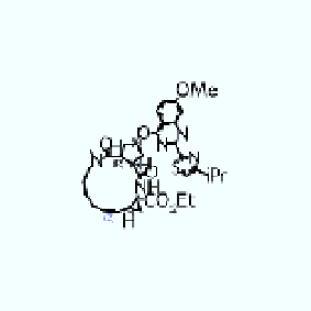 CCOC(=O)C12C[C@H]1/C=C\CCCCN(C)C(=O)[C@@H]1C[C@H](Oc3nc(-c4nc(C(C)C)cs4)nc4cc(OC)ccc34)C[C@H]1C(=O)N2